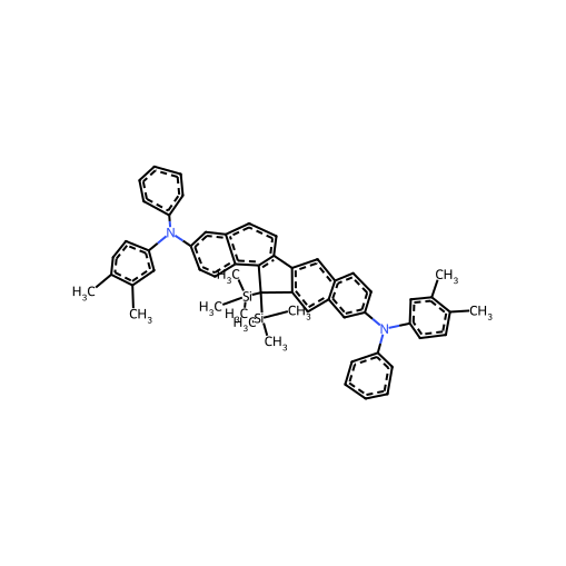 Cc1ccc(N(c2ccccc2)c2ccc3cc4c(cc3c2)C([Si](C)(C)C)([Si](C)(C)C)c2c-4ccc3cc(N(c4ccccc4)c4ccc(C)c(C)c4)ccc23)cc1C